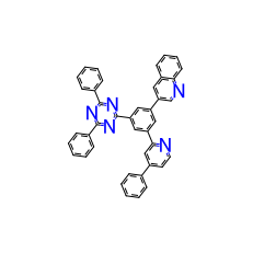 c1ccc(-c2ccnc(-c3cc(-c4cnc5ccccc5c4)cc(-c4nc(-c5ccccc5)nc(-c5ccccc5)n4)c3)c2)cc1